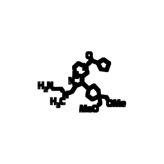 COCC1(COC)CCC(c2c(CN(C)CCN)nn3c2CN(C(=O)C2CCCC2)CC3)CC1